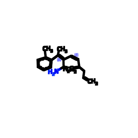 C=CCC(=C)/C=C\C(C(=C)N)=C(/C)c1ccccc1C